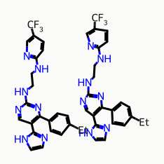 CCc1ccc(-c2nc(NCCNc3ccc(C(F)(F)F)cn3)ncc2-c2ncc[nH]2)cc1.CCc1ccc(-c2nc(NCCNc3ccc(C(F)(F)F)cn3)ncc2-c2ncc[nH]2)cc1